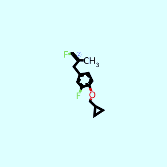 C/C(=C/F)Cc1ccc(OCC2CC2)c(F)c1